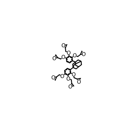 c1cc(C23CC4CC(C2)CC(c2ccc(OCC5CO5)c(OCC5CO5)c2OCC2CO2)(C4)C3)c(OCC2CO2)c(OCC2CO2)c1OCC1CO1